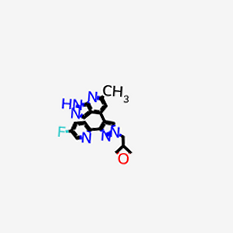 Cc1cc(-c2cn(CC3COC3)nc2-c2ccc(F)cn2)c2cn[nH]c2n1